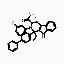 CCC1(c2ccc(-c3ccccc3)cc2)c2[nH]c3ccccc3c2CC(C(N)=O)N1c1cccc(F)c1